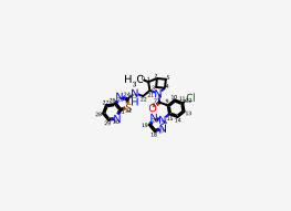 CC1C2CC(C2)N(C(=O)c2cc(Cl)ccc2-n2nccn2)C1CNc1nc2cccnc2s1